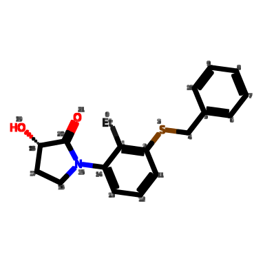 CCc1c(SCc2ccccc2)cccc1N1CC[C@H](O)C1=O